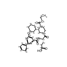 CCOC(=O)N1CCN(C(=O)[C@H](CCC(=O)O)NC(=O)c2cc(OC3CCSCC3)nc(-c3ccccc3)n2)CC1